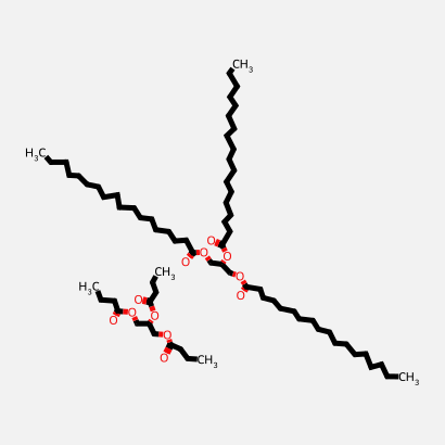 CCCC(=O)OCC(COC(=O)CCC)OC(=O)CCC.CCCCCCCCCCCCCCCCCC(=O)OCC(COC(=O)CCCCCCCCCCCCCCCCC)OC(=O)CCCCCCCCCCCCCCCCC